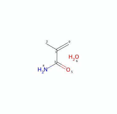 C=C(C)C(N)=O.O